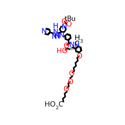 Cc1ccc(OCCCCCCOCCOCCOCCCCCC(=O)O)cc1[C@H](CCO)NC(=O)c1cccc(NC2(c3nnc(-c4ccncc4)[nH]3)CCN(C(=O)OC(C)(C)C)CC2)c1